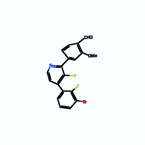 COc1cc(-c2nccc(-c3cccc(Br)c3F)c2F)ccc1C=O